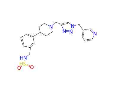 O=[SH](=O)NCc1cccc(C2CCN(Cc3cn(Cc4cccnc4)nn3)CC2)c1